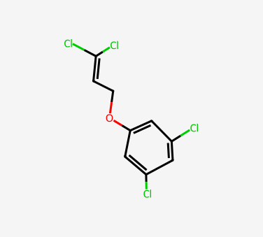 ClC(Cl)=CCOc1cc(Cl)cc(Cl)c1